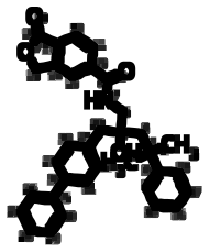 CC(C)(CC(O)(CNC(=O)c1ccc2c(c1)COC2=O)Cc1ccc(-c2ccccc2)cc1)c1ccccc1